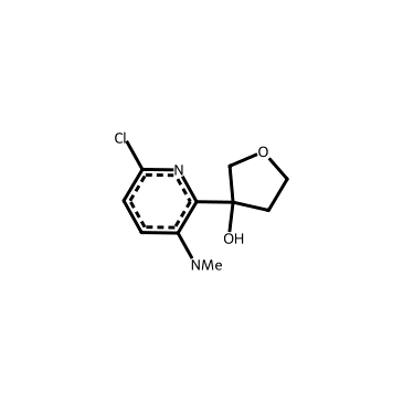 CNc1ccc(Cl)nc1C1(O)CCOC1